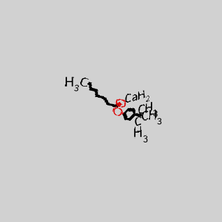 CCCCCCCC(=O)Oc1ccc(C(C)(C)C)cc1.[CaH2]